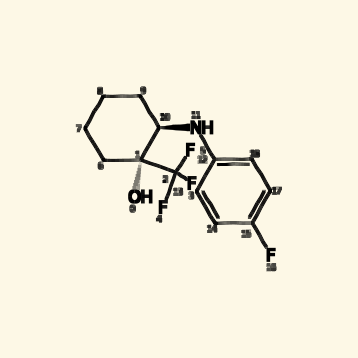 O[C@]1(C(F)(F)F)CCCC[C@H]1Nc1ccc(F)cc1